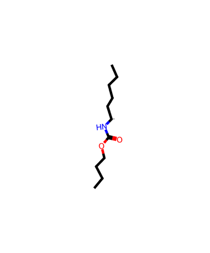 CCCCC[CH]NC(=O)OCCCC